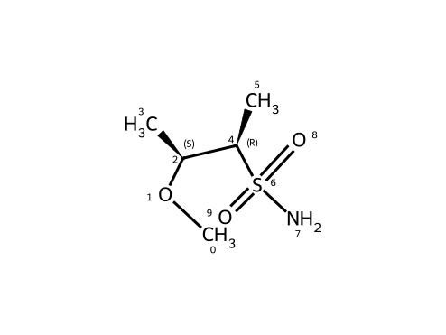 CO[C@@H](C)[C@@H](C)S(N)(=O)=O